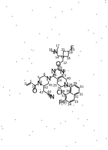 C=CC(=O)N1CCN(c2nc(OCC3(CN(C)C)CC(F)C3)nc3c2CCN(c2cccc4ccc(F)c(Cl)c24)C3)CC1CC#N